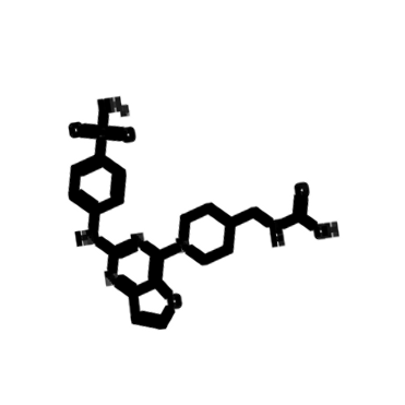 NS(=O)(=O)c1ccc(Nc2nc(N3CCC(CNC(=O)O)CC3)c3occc3n2)cc1